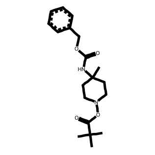 CC1(NC(=O)OCc2ccccc2)CCN(OC(=O)C(C)(C)C)CC1